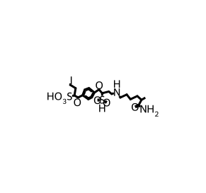 CC(CCCCNCCC(C(=O)c1ccc(C(=O)C(CCI)S(=O)(=O)O)cc1)[SH](=O)=O)C(N)=O